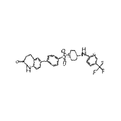 O=C1CCc2cc(-c3ccc(S(=O)(=O)N4CCC(Nc5ccc(C(F)(F)F)cn5)CC4)cc3)ccc2N1